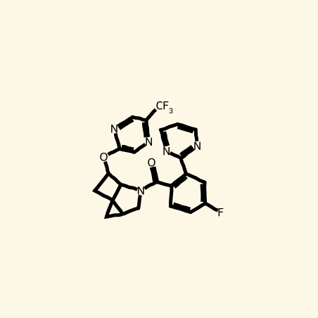 O=C(c1ccc(F)cc1-c1ncccn1)N1CC2CC23CC(Oc2cnc(C(F)(F)F)cn2)C13